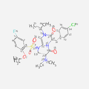 COc1ccc(F)cc1S(=O)(=O)N1CC(N(C)C)C(=O)N2C1=CN(C(C)C)C(=O)C2Cc1ccc(Cl)cc1